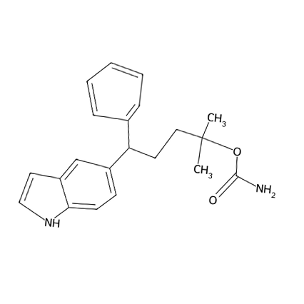 CC(C)(CCC(c1ccccc1)c1ccc2[nH]ccc2c1)OC(N)=O